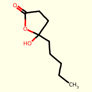 CCCCCC1(O)CCC(=O)O1